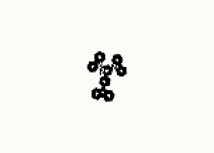 c1ccc2c(c1)-c1ccccc1C2c1ccc(-c2cc(-n3c4ccccc4c4ccccc43)cc(-n3c4ccccc4c4ccccc43)n2)cc1